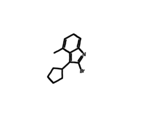 CC1=CCC=C2N=C(Br)C(C3CCCC3)=C12